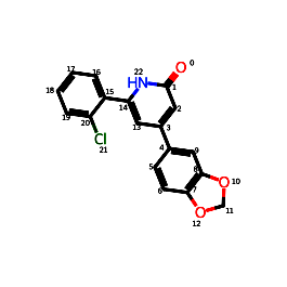 O=c1cc(-c2ccc3c(c2)OCO3)cc(-c2ccccc2Cl)[nH]1